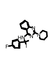 CC(I)(Nc1nc(N2CCCCC2)nc2ccccc12)c1ccc(F)cc1